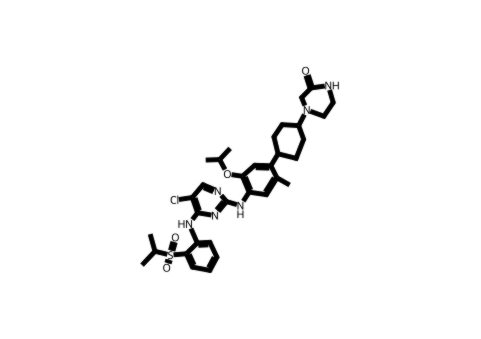 Cc1cc(Nc2ncc(Cl)c(Nc3ccccc3S(=O)(=O)C(C)C)n2)c(OC(C)C)cc1C1CCC(N2CCNC(=O)C2)CC1